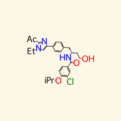 CCn1cc(-c2ccc(C[C@@H](CCO)NC(=O)c3ccc(OC(C)C)c(Cl)c3)cc2)nc1C(C)=O